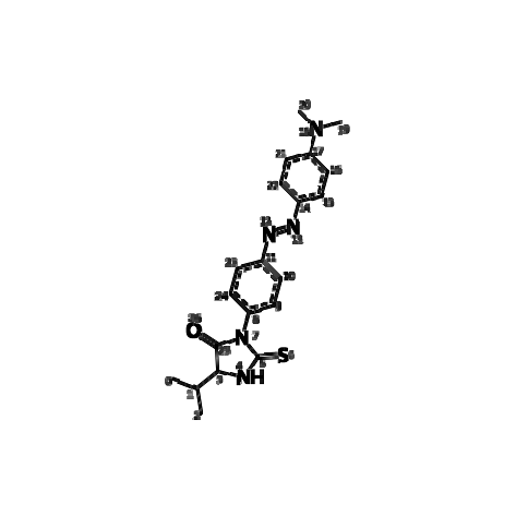 CC(C)C1NC(=S)N(c2ccc(N=Nc3ccc(N(C)C)cc3)cc2)C1=O